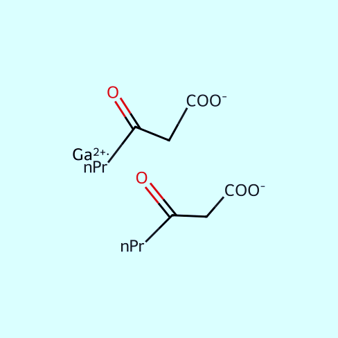 CCCC(=O)CC(=O)[O-].CCCC(=O)CC(=O)[O-].[Ga+2]